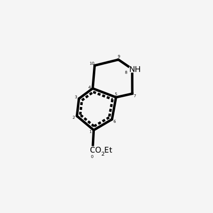 CCOC(=O)c1ccc2c(c1)CNCC2